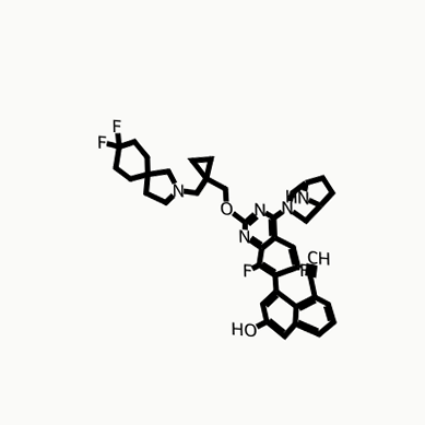 C#Cc1cccc2cc(O)cc(-c3c(F)cc4c(N5CC6CCC(C5)N6)nc(OCC5(CN6CCC7(CCC(F)(F)CC7)C6)CC5)nc4c3F)c12